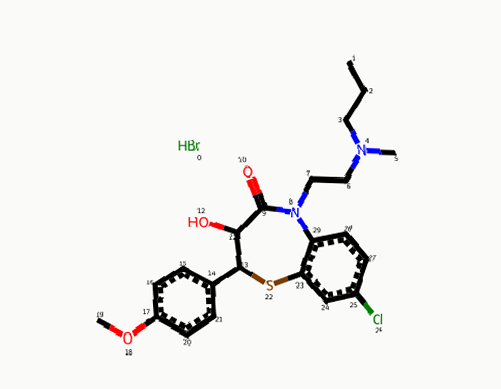 Br.CCCN(C)CCN1C(=O)C(O)C(c2ccc(OC)cc2)Sc2cc(Cl)ccc21